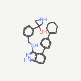 OC1(c2cccc(CNc3n[nH]c4cccc(-c5ccc(C6=CCCCC6)cc5)c34)c2)CNC1